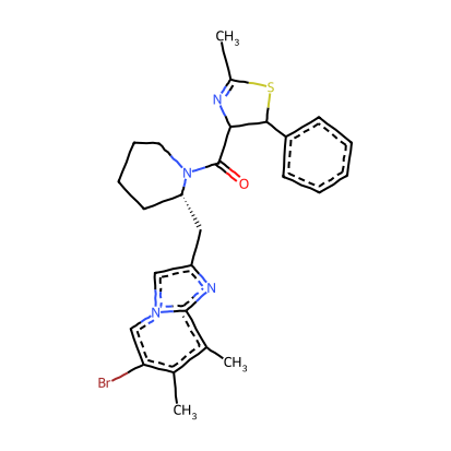 CC1=NC(C(=O)N2CCCC[C@H]2Cc2cn3cc(Br)c(C)c(C)c3n2)C(c2ccccc2)S1